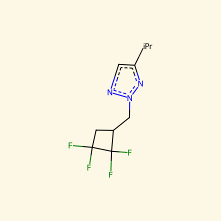 CC(C)c1cnn(CC2CC(F)(F)C2(F)F)n1